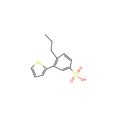 CCCc1ccc(S(=O)(=O)O)cc1-c1cccs1